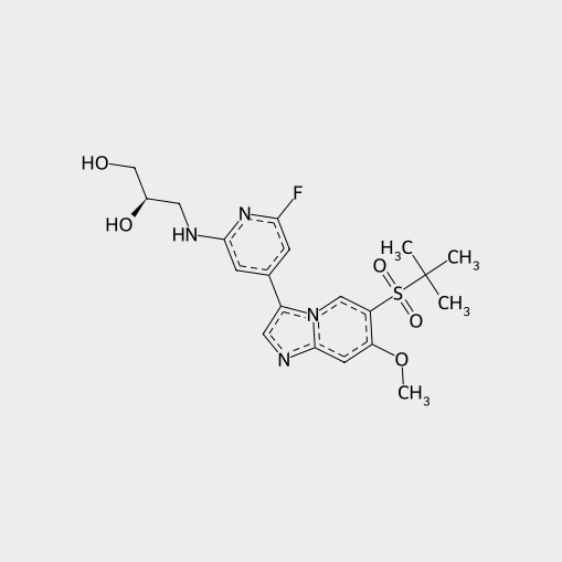 COc1cc2ncc(-c3cc(F)nc(NC[C@@H](O)CO)c3)n2cc1S(=O)(=O)C(C)(C)C